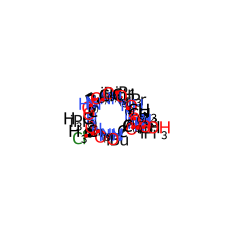 CC[C@H](C)[C@@H]1NC(=O)[C@H](Cc2cccc(Cl)c2)N(C)C(=O)[C@H](CC(C)C)N(C)C(=O)C[C@@H](C(=O)N2CCCCC2)NC(=O)[C@H](CC(C)C)N(C)C(=O)[C@H](CC(C)C)N(C)C(=O)[C@H](CC(C)C)NC(=O)[C@H](C)N(C)C(=O)[C@@H](NC(=O)[C@H](CC(C)C)N(C)C(=O)[C@@H]2CCCN2C(=O)CO)CCCCNC1=O